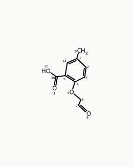 Cc1ccc(OCC=O)c(C(=O)O)c1